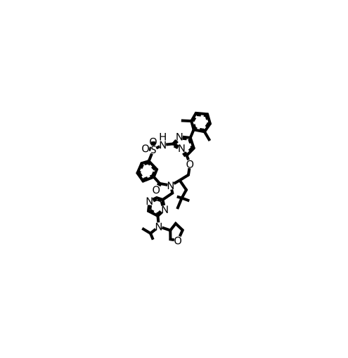 Cc1cccc(C)c1-c1cc2nc(n1)NS(=O)(=O)c1cccc(c1)C(=O)N(Cc1cncc(N(C(C)C)C3CCOC3)n1)C(CC(C)(C)C)CO2